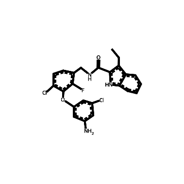 CCc1c(C(=O)NCc2ccc(Cl)c(Oc3cc(N)cc(Cl)c3)c2F)[nH]c2ccccc12